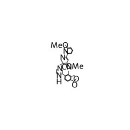 COc1cccc(C2=C[C@@H](OC)C(C#N)(CN3CCNC(c4ccc5c(c4C)COC5=O)C3)C=N2)n1